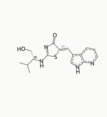 CC(C)[C@H](CO)NC1=NC(=O)/C(=C/c2c[nH]c3ncccc23)S1